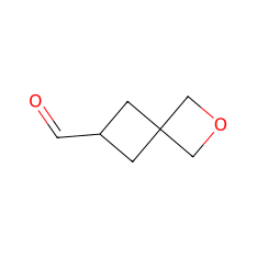 O=CC1CC2(COC2)C1